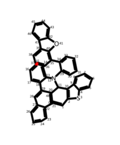 C1=Cc2sc3ccccc3c2C(N(c2ccccc2-c2ccc3ccccc3c2)c2ccccc2-c2cccc3c2oc2ccccc23)C1